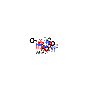 COC(=O)[C@@H](NC(=O)c1nc2oc1C13c4cc(ccc4O[C@@H]1Nc1c(Br)cccc13)C[C@H](NC(=O)OCc1ccccc1)C(=O)N[C@H]2C(C)C)[C@@H](C)O